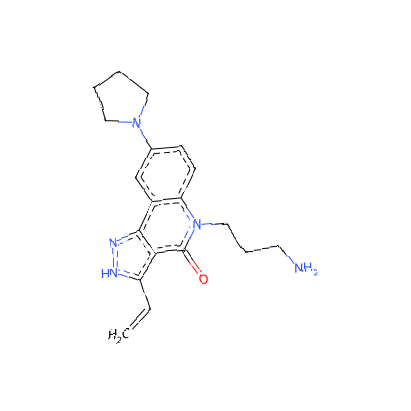 C=Cc1[nH]nc2c1c(=O)n(CCCN)c1ccc(N3CCCC3)cc21